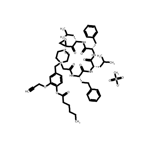 C#CCOc1cc(C[N+]2(CC(=O)N[C@@H](CCc3ccccc3)C(=O)N[C@@H](CC(C)C)C(=O)N[C@@H](Cc3ccccc3)C(=O)N[C@@H](CC(C)C)C(=O)[C@@]3(C)CO3)CCOCC2)ccc1OC(=O)CCCCC.CS(=O)(=O)[O-]